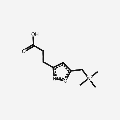 C[N+](C)(C)Cc1cc(CCC(=O)O)no1